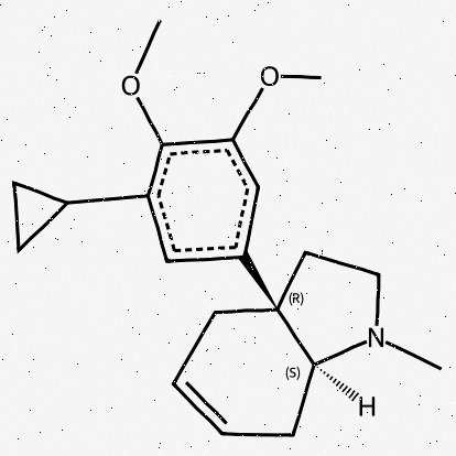 COc1cc([C@]23CC=CC[C@@H]2N(C)CC3)cc(C2CC2)c1OC